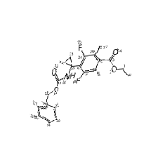 CCOC(=O)c1cc(F)c(C2(NC(=O)OCc3ccccc3)CC2)c(F)c1F